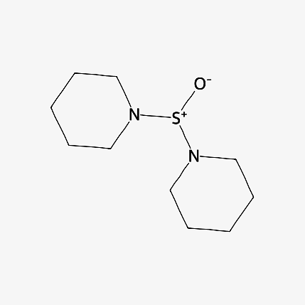 [O-][S+](N1CCCCC1)N1CCCCC1